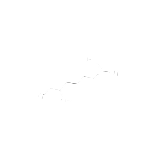 C[SH](C)CCCCC(O)CCl